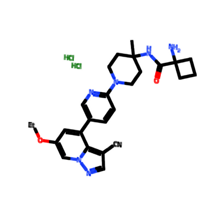 CCOc1cc(-c2ccc(N3CCC(C)(NC(=O)C4(N)CCC4)CC3)nc2)c2c(C#N)cnn2c1.Cl.Cl